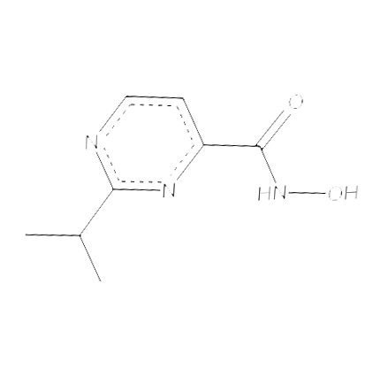 CC(C)c1nccc(C(=O)NO)n1